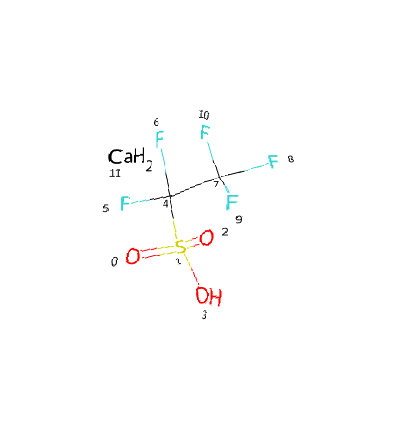 O=S(=O)(O)C(F)(F)C(F)(F)F.[CaH2]